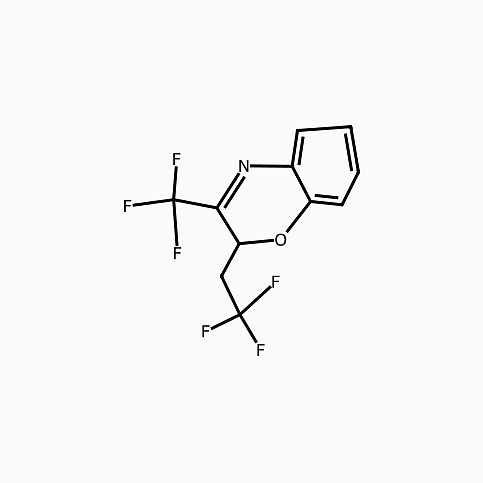 FC(F)(F)CC1Oc2ccccc2N=C1C(F)(F)F